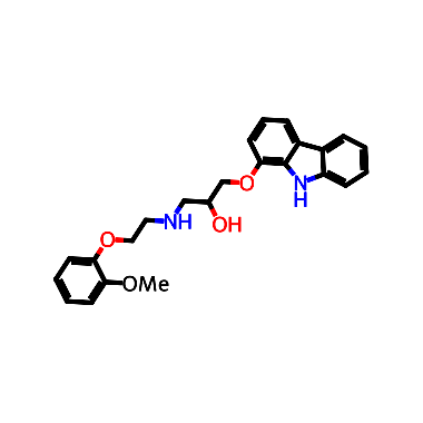 COc1ccccc1OCCNCC(O)COc1cccc2c1[nH]c1ccccc12